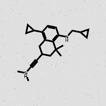 C[SiH](C)C#CC1Cc2c(C3CC3)ccc(NCC3CC3)c2C(C)(C)C1